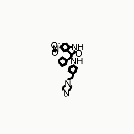 CN1CCN(CCc2ccc(N/C(=C3\C(=O)Nc4ccc([N+](=O)[O-])cc43)c3ccccc3)cc2)CC1